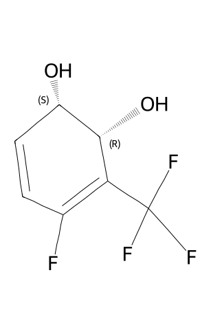 O[C@@H]1C(C(F)(F)F)=C(F)C=C[C@@H]1O